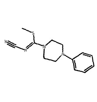 CS/C(=N\C#N)N1CCN(c2ccccc2)CC1